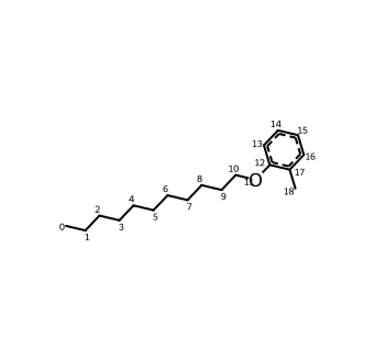 CCCCCCCCCCCOc1ccccc1C